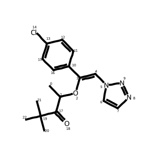 CC(O/C(=C\n1ccnn1)c1ccc(Cl)cc1)C(=O)C(C)(C)C